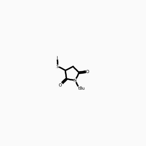 CC(C)(C)N1C(=O)CC(SI)C1=O